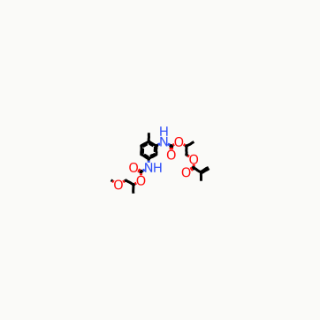 C=C(C)C(=O)OCC(C)OC(=O)Nc1cc(NC(=O)OC(C)COC)ccc1C